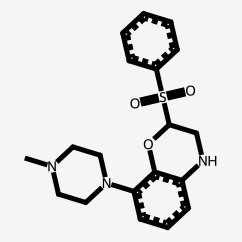 CN1CCN(c2cccc3c2OC(S(=O)(=O)c2ccccc2)CN3)CC1